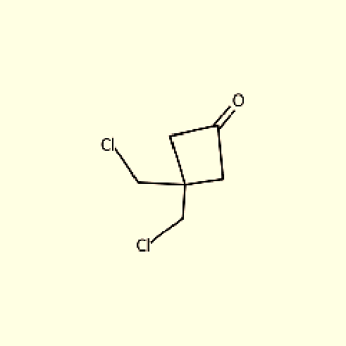 O=C1CC(CCl)(CCl)C1